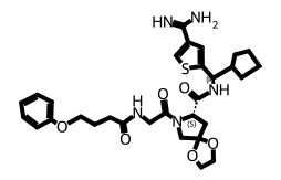 N=C(N)c1csc([C@H](NC(=O)[C@@H]2CC3(CN2C(=O)CNC(=O)CCCOc2ccccc2)OCCO3)C2CCCC2)c1